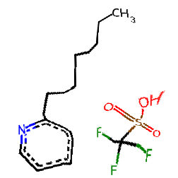 CCCCCCc1ccccn1.O=S(=O)(O)C(F)(F)F